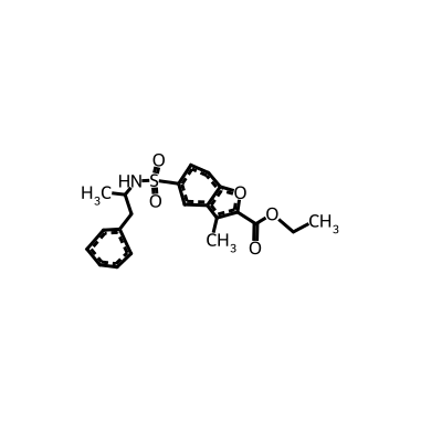 CCOC(=O)c1oc2ccc(S(=O)(=O)NC(C)Cc3ccccc3)cc2c1C